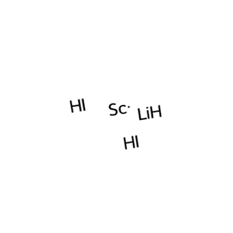 I.I.[LiH].[Sc]